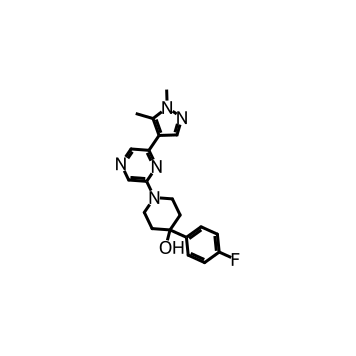 Cc1c(-c2cncc(N3CCC(O)(c4ccc(F)cc4)CC3)n2)cnn1C